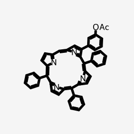 CC(=O)Oc1cccc(C2=CC3=CC4=NC(=C(c5ccccc5)C5=NC(=C(c6ccccc6)C6=NC(=C(c7ccccc7)C2=N3)C=C6)C=C5)C=C4)c1